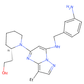 CCc1cnn2c(NCc3cccc(N)c3)cc(N3CCCC[C@H]3CCO)nc12